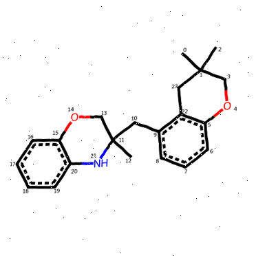 CC1(C)COc2cccc(CC3(C)COc4ccccc4N3)c2C1